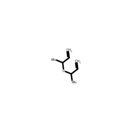 C=CC(OC(C=C)C(C)(C)C)C(C)(C)C